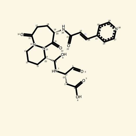 O=C[C@H](CC(=O)O)NC(O)[C@@H]1CCCN2C(=O)CC[C@H](NC(=O)/C=C/c3ccncc3)C(=O)N12